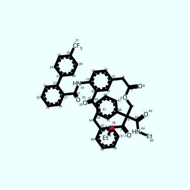 CCNC(=O)C(COC(=O)Cc1ccc(NC(=O)c2ccccc2-c2ccc(C(F)(F)F)cc2)c(C(=O)OCc2ccccc2)c1)(C(=O)NCC)c1ccccc1